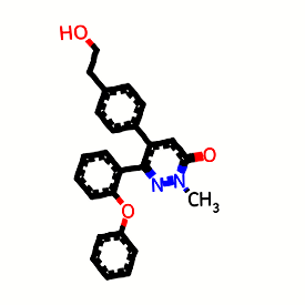 Cn1nc(-c2ccccc2Oc2ccccc2)c(-c2ccc(CCO)cc2)cc1=O